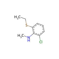 CCSc1cccc(Cl)c1NC